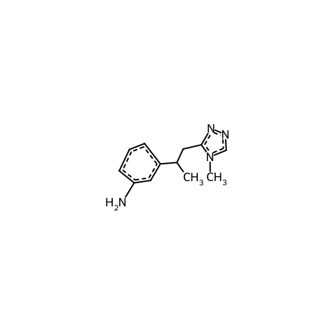 CC(Cc1nncn1C)c1cccc(N)c1